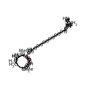 CO[C@H]1CC2CCC[C@@](O)(O2)C(=O)C(=O)N2CCCC[C@H]2CO[C@H](CC[C@@H]2CC[C@@H](OC(=O)NCCOCCOCCOCCOCCOCCOCCOCCOCCOCCOCCC(=O)N3CCC(n4nc(-c5cnc6[nH]ccc6c5)c5c(N)ncnc54)CC3)[C@H](OC)C2)CC(=O)[C@H](C)/C=C(\C)[C@@H](O)CC(=O)[C@H](C)C[C@H](C)/C=C/C=C/C=C/1C